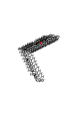 O=C(O)O.O=C(O)O.O=C(O)O.O=C(O)O.O=C(O)O.O=C(O)O.O=C(O)O.O=C(O)O.O=C(O)O.O=C(O)O.O=C(O)O.O=C(O)O.O=C(O)O.O=C(O)O.O=C(O)O.O=C(O)O.O=C(O)O.O=C(O)O.O=C(O)O.O=C(O)O.O=C(O)O.O=C(O)O.O=C(O)O.O=C(O)O.O=C(O)O.O=C(O)O.O=C(O)O.O=C(O)O.O=C(O)O.O=C(O)O.O=C([O-])[O-].O=C([O-])[O-].O=C([O-])[O-].[Ca+2].[Ca+2].[Ca+2]